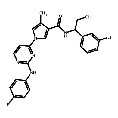 Cc1cn(-c2ccnc(Nc3ccc(F)cc3)n2)cc1C(=O)NC(CO)c1cccc(Cl)c1